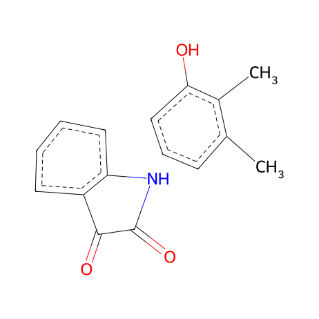 Cc1cccc(O)c1C.O=C1Nc2ccccc2C1=O